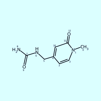 Cn1ccc(CNC(N)=O)cc1=O